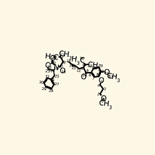 COCCCOc1cc(C(=O)C(CC=CC[C@H](C(=O)N2C(=O)OC[C@@H]2Cc2ccccc2)C(C)C)C(C)C)ccc1OC